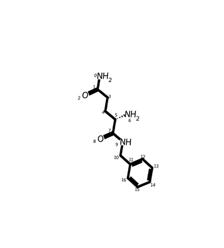 NC(=O)CC[C@H](N)C(=O)NCc1ccccc1